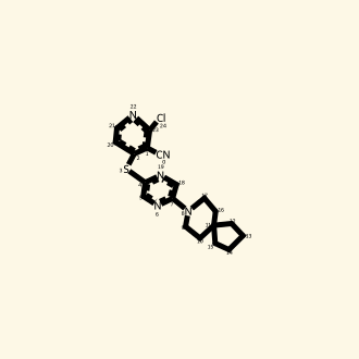 N#Cc1c(Sc2cnc(N3CCC4(CCCC4)CC3)cn2)ccnc1Cl